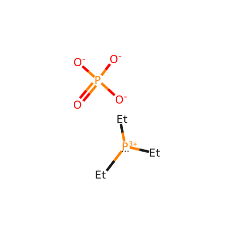 CC[P+3](CC)CC.O=P([O-])([O-])[O-]